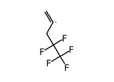 C=[C]CC(F)(F)C(F)(F)F